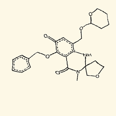 CN1C(=O)c2c(OCc3ccccc3)c(=O)cc(COC3CCCCO3)n2NC12CCOC2